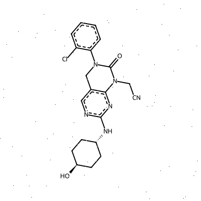 N#CCN1C(=O)N(c2ccccc2Cl)Cc2cnc(N[C@H]3CC[C@H](O)CC3)nc21